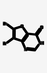 O=c1[nH]cnc2c(Br)c(Br)oc12